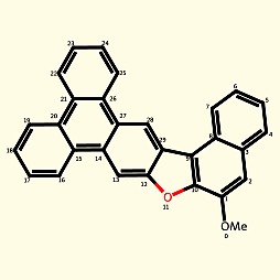 COc1cc2ccccc2c2c1oc1cc3c4ccccc4c4ccccc4c3cc12